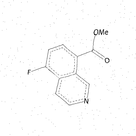 COC(=O)c1ccc(F)c2ccncc12